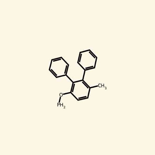 Cc1ccc(OP)c(-c2ccccc2)c1-c1ccccc1